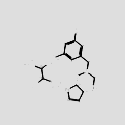 CC(C)CN(Cc1cc(Cl)cc(Cl)c1)C[C@@H]1CCCN1.O=C(O)C(O)C(O)C(=O)O